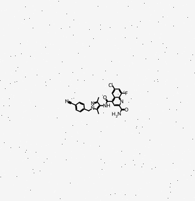 Cc1nn(Cc2ccc(C#N)cc2)c(C)c1NC(=O)c1cc(C(N)=O)nc2c(F)cc(Cl)cc12